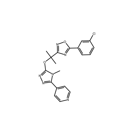 Cn1c(OC(C)(C)c2noc(-c3cccc(Cl)c3)n2)nnc1-c1ccncc1